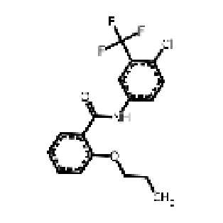 CCCOc1ccccc1C(=O)Nc1ccc(Cl)c(C(F)(F)F)c1